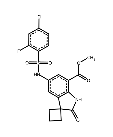 COC(=O)c1cc(NS(=O)(=O)c2ccc(Cl)cc2F)cc2c1NC(=O)C21CCC1